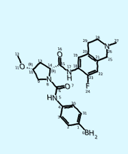 Bc1ccc(NC(=O)N2C[C@H](OC)C[C@@H]2C(=O)Nc2cc3c(cc2F)CN(C)CC3)cc1